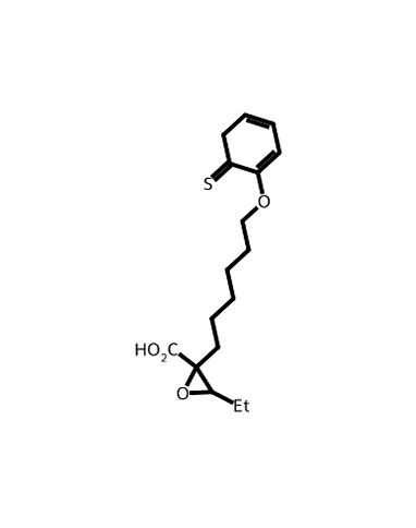 CCC1OC1(CCCCCCOC1=CC=CCC1=S)C(=O)O